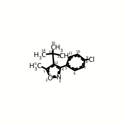 Cc1onc(-c2ccc(Cl)cc2)c1C(C)(C)C